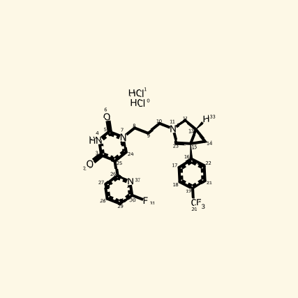 Cl.Cl.O=c1[nH]c(=O)n(CCCN2C[C@@H]3C[C@]3(c3ccc(C(F)(F)F)cc3)C2)cc1-c1cccc(F)n1